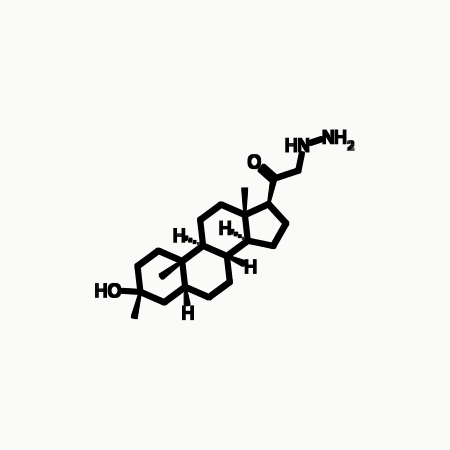 C[C@@]1(O)CC[C@@]2(C)[C@H](CC[C@@H]3[C@@H]2CC[C@]2(C)[C@@H](C(=O)CNN)CC[C@@H]32)C1